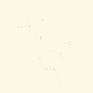 COc1cc(F)ccc1B1OC(C)(C)C(C)(C)O1